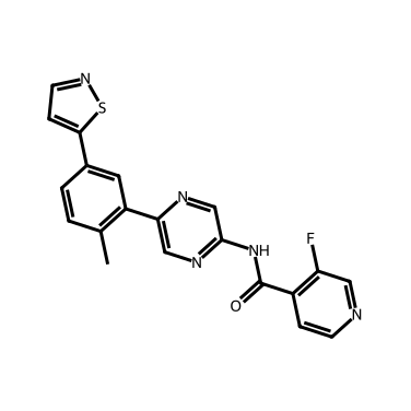 Cc1ccc(-c2ccns2)cc1-c1cnc(NC(=O)c2ccncc2F)cn1